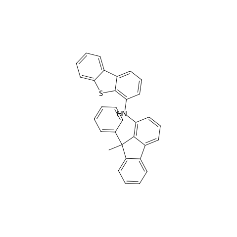 CC1(c2ccccc2)c2ccccc2-c2cccc(Nc3cccc4c3sc3ccccc34)c21